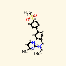 CC(C)(C)CN(Cc1ccc(-c2ccc(S(C)(=O)=O)cc2)cc1)c1nccc(C#N)n1